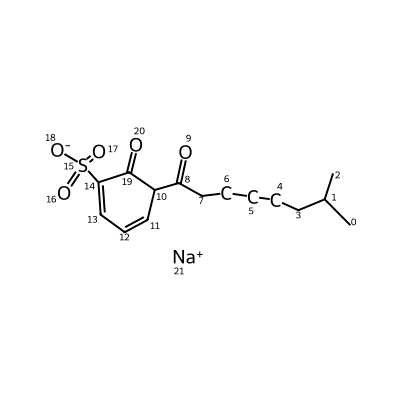 CC(C)CCCCCC(=O)C1C=CC=C(S(=O)(=O)[O-])C1=O.[Na+]